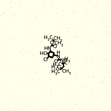 CC(C)(C)CC(C)(C)NC(=O)Nc1cc(Cl)c(O)c(NC(=O)OC(C)(C)C)c1